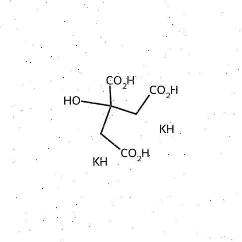 O=C(O)CC(O)(CC(=O)O)C(=O)O.[KH].[KH]